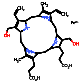 C=CC1=C(CO)C2CC3NC(CC4[N-]C(CC5NC(CC1[N-]2)C(C)=C5C=C)C(CO)C4CCC(=O)O)C(CCC(=O)O)=C3C.[Fe+2]